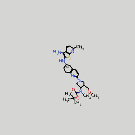 COCC1CN(c2ccc3c(n2)CC[C@H](Nc2sc4nc(C)ccc4c2N)C3)CC1N(C)C(=O)OC(C)(C)C